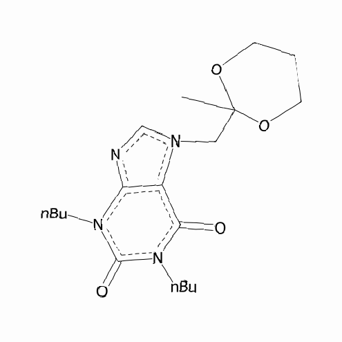 CCCCn1c(=O)c2c(ncn2CC2(C)OCCCO2)n(CCCC)c1=O